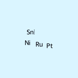 [Ni].[Pt].[Ru].[Sn]